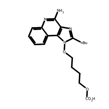 CCCCc1nc2c(N)nc3ccccc3c2n1OCCCCOC(=O)O